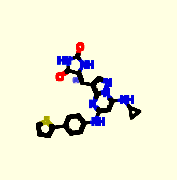 O=C1NC(=O)/C(=C/c2cnn3c(NC4CC4)cc(Nc4ccc(-c5cccs5)cc4)nc23)N1